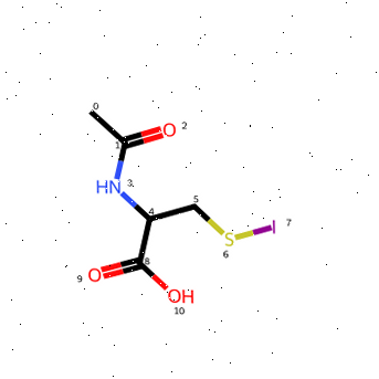 CC(=O)NC(CSI)C(=O)O